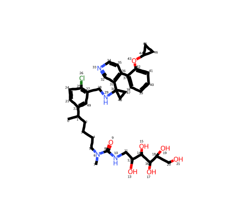 CC(CCCCN(C)C(=O)NCC(O)C(O)C(O)C(O)CO)c1ccc(Cl)c(CNC2(c3cnccc3-c3ccccc3OC3CC3)CC2)c1